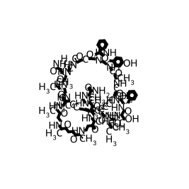 CC(=O)N[C@@H](CC(C)C)C(=O)N[C@H](C(=O)N[C@@H](Cc1ccccc1)C(=O)N[C@]1(C)CCCCCC/C=C/CCC[C@@](C)(C(=O)CN[C@@H](C)C(=O)CCN[C@@H](C)C(=O)CCC(=O)[C@H](C)NCCC(=O)[C@H](C)NCCC(=O)[C@H](C)NCN[C@H](C)C(N)=O)NC(=O)[C@H](CC(C)C)NC(=O)[C@H](CCC(N)=O)NCN[C@@H](C)C(=O)CC(=O)[C@H](Cc2c[nH]c3ccccc23)NC(=O)[C@H](Cc2ccc(O)cc2)NCC(=O)[C@H](C)NCC1=O)[C@@H](C)O